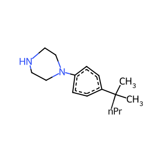 CCCC(C)(C)c1ccc(N2CCNCC2)cc1